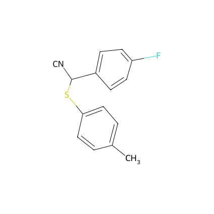 [C-]#[N+]C(Sc1ccc(C)cc1)c1ccc(F)cc1